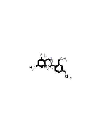 CCc1ccc(C(C)/N=C\c2c(C)cc(C)cc2C)c(CC)c1